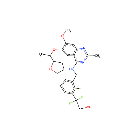 COc1cc2nc(C)nc(NCc3cccc(C(F)(F)CO)c3F)c2cc1OC(C)C1CCCO1